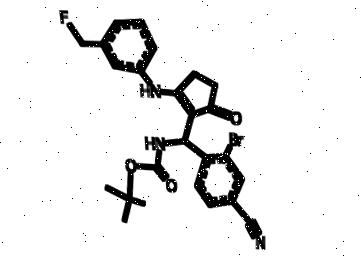 CC(C)(C)OC(=O)NC(C1=C(Nc2cccc(CF)c2)CCC1=O)c1ccc(C#N)cc1Br